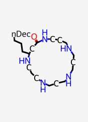 CCCCCCCCCCCCCC1CC(=O)NCCCNCCCNCCCNCCCN1